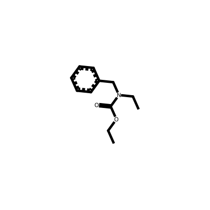 CCOC(=O)N(CC)Cc1ccccc1